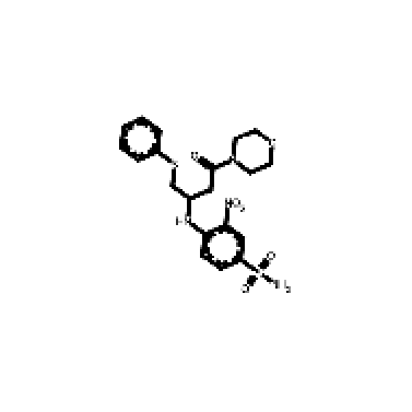 NS(=O)(=O)c1ccc(NC(CSc2ccccc2)CC(=O)N2CCOCC2)c([N+](=O)[O-])c1